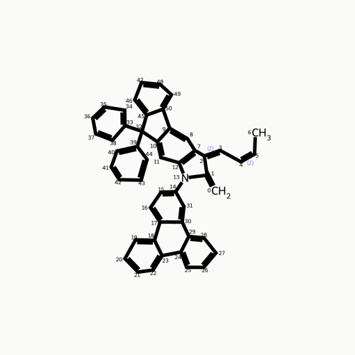 C=c1/c(=C\C=C/C)c2cc3c(cc2n1-c1ccc2c4ccccc4c4ccccc4c2c1)C(c1ccccc1)(c1ccccc1)c1ccccc1-3